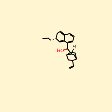 C=CC1CC2CCC1C[C@H]2C(O)c1cccc2c1=C[C@H](CCC)CC=2